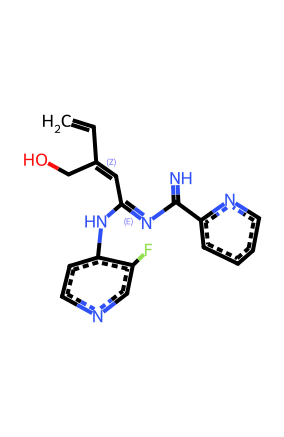 C=C/C(=C/C(=N\C(=N)c1ccccn1)Nc1ccncc1F)CO